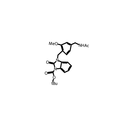 COc1cc(CNC(C)=O)ccc1Cn1c(=O)n(C(=O)OC(C)(C)C)c2ccccc21